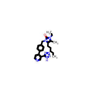 CCCCCc1c(C)n(CC)c(=O)n1Cc1ccc(-c2ccncc2-c2nnn[nH]2)cc1